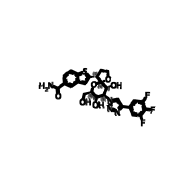 NC(=O)c1ccc2sc([C@@H]3CCO[C@]34O[C@H](CO)[C@H](O)[C@H](n3cc(-c5cc(F)c(F)c(F)c5)nn3)[C@H]4O)cc2c1